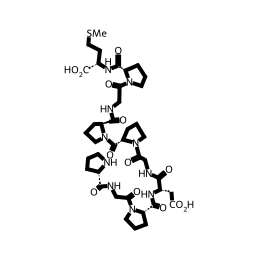 CSCC[C@H](NC(=O)[C@@H]1CCCN1C(=O)CNC(=O)[C@@H]1CCCN1C(=O)[C@@H]1CCCN1C(=O)CNC(=O)[C@H](CC(=O)O)NC(=O)[C@@H]1CCCN1C(=O)CNC(=O)[C@@H]1CCCN1)C(=O)O